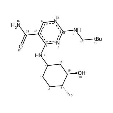 C[C@@H]1CCC(Nc2nc(NCC(C)(C)C)ncc2C(N)=O)C[C@H]1O